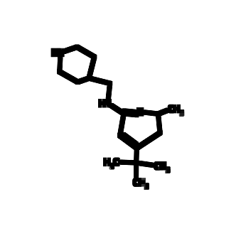 CC1CC(C(C)(C)C)=CC(NCC2CCNCC2)=N1